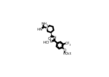 CCCCCCCCOc1ccc(-c2noc([C@@H]3CCCN(C(=N)N)C3)n2)cc1C(F)(F)F.Cl